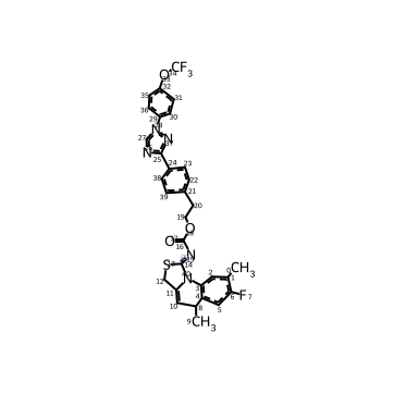 Cc1cc2c(cc1F)C(C)C=C1CS/C(=N\C(=O)OCCc3ccc(-c4ncn(-c5ccc(OC(F)(F)F)cc5)n4)cc3)N12